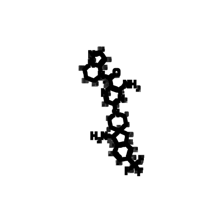 Nc1nc(N2CCC3(CC2)Cc2cc(C(F)(F)F)ccc2C3N)cnc1C(=O)N1CCCn2nccc21